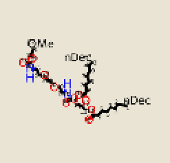 CCCCCCCCCCCCCCCCCC(=O)OCC(COC(=O)NCCOCCOCCNC(=O)OCCOC)OC(=O)CCCCCCCCCCCCCCCCC